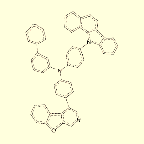 c1ccc(-c2cccc(N(c3ccc(-c4cncc5oc6ccccc6c45)cc3)c3ccc(-n4c5ccccc5c5ccc6ccccc6c54)cc3)c2)cc1